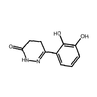 O=C1CCC(c2cccc(O)c2O)=NN1